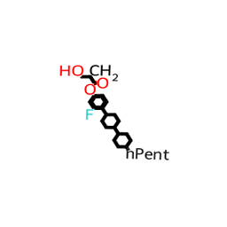 C=C(CO)C(=O)Oc1ccc(C2CCC(C3CCC(CCCCC)CC3)CC2)c(F)c1